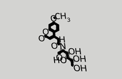 COc1ccc2c(CC(=O)N[C@@H](C=O)[C@@H](O)[C@H](O)[C@H](O)CO)cc(=O)oc2c1